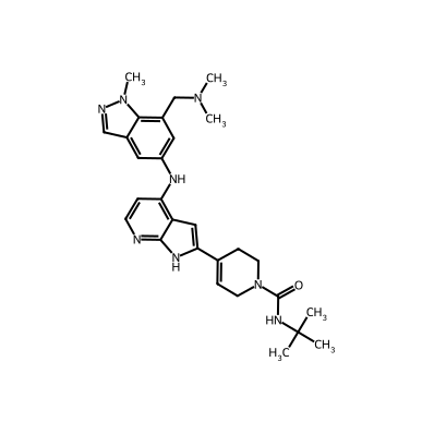 CN(C)Cc1cc(Nc2ccnc3[nH]c(C4=CCN(C(=O)NC(C)(C)C)CC4)cc23)cc2cnn(C)c12